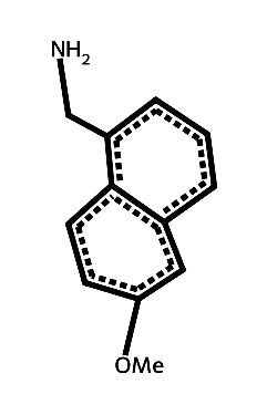 COc1ccc2c(CN)cccc2c1